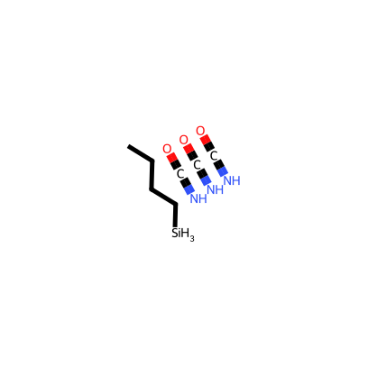 CCCC[SiH3].N=C=O.N=C=O.N=C=O